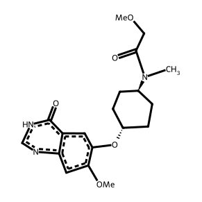 COCC(=O)N(C)[C@H]1CC[C@H](Oc2cc3c(=O)[nH]cnc3cc2OC)CC1